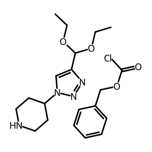 CCOC(OCC)c1cn(C2CCNCC2)nn1.O=C(Cl)OCc1ccccc1